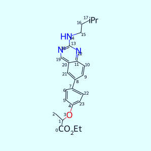 CCOC(=O)C(C)Oc1ccc(-c2ccc3nc(NCCC(C)C)ncc3c2)cc1